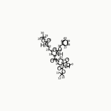 COC(=O)C1(NC(=O)OC(C)(C)C)CCN(C(=O)C(CCCCNC(=O)OC(C)(C)C)NC(=O)OCc2ccccc2)CC1